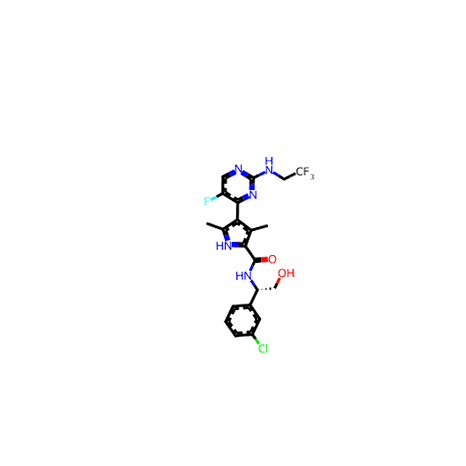 Cc1[nH]c(C(=O)N[C@H](CO)c2cccc(Cl)c2)c(C)c1-c1nc(NCC(F)(F)F)ncc1F